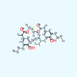 CCCCc1cc(C(C)C(=O)OC(C)SC(C)OC(=O)C(C)c2cc(CCCC)c(O)c(CCCC)c2)cc(CCCC)c1O